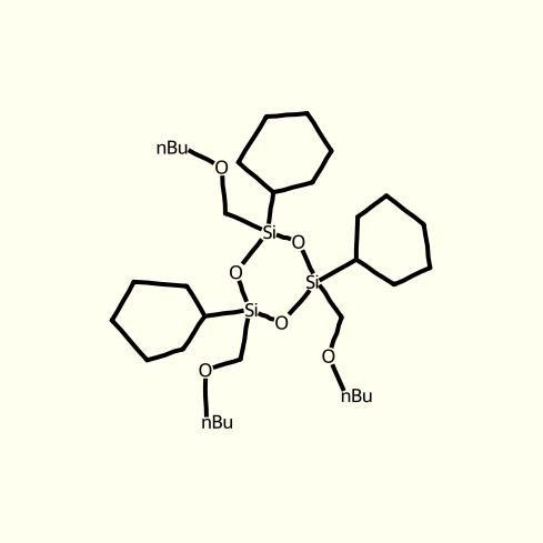 CCCCOC[Si]1(C2CCCCC2)O[Si](COCCCC)(C2CCCCC2)O[Si](COCCCC)(C2CCCCC2)O1